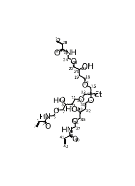 C=CC(=O)NCOCC(O)CCOCC(CC)(COCCC(O)COCNC(=O)C=C)OCCC(O)COCNC(=O)C=C